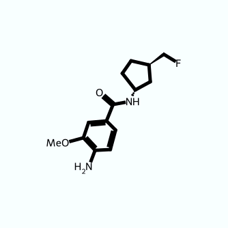 COc1cc(C(=O)N[C@@H]2CC[C@@H](CF)C2)ccc1N